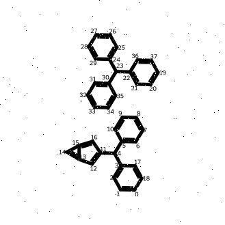 c1ccc(C(c2ccccc2)c2cc3cc-3c2)cc1.c1ccc(C(c2ccccc2)c2ccccc2)cc1